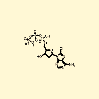 Nc1ncnc2c1nc(Cl)n2C1CC(O)C(COP(=O)(O)OP(=O)(O)OP(=O)(O)O)O1